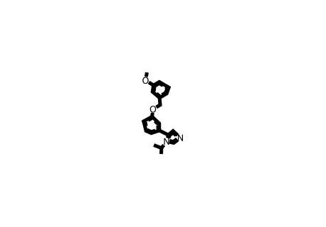 COc1cccc(COc2cccc(-c3cncn3C(C)C)c2)c1